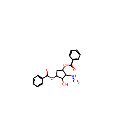 CNC1C(OC(=O)c2ccccc2)CC(OC(=O)c2ccccc2)C1O